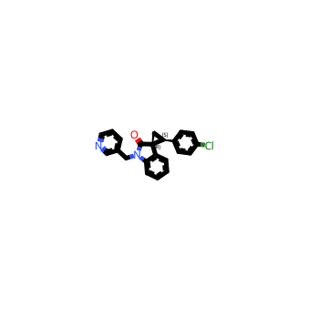 O=C1N(Cc2cccnc2)c2ccccc2[C@]12C[C@H]2c1ccc(Cl)cc1